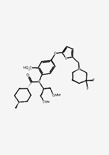 COCC(COC)N(c1ccc(Oc2ccc(CN3CCCC(F)(F)C3)s2)cc1C(=O)O)C(=O)[C@H]1CC[C@H](C)CC1